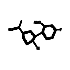 COc1cc(F)ccc1-c1cc(C(C)=N)ccc1Cl